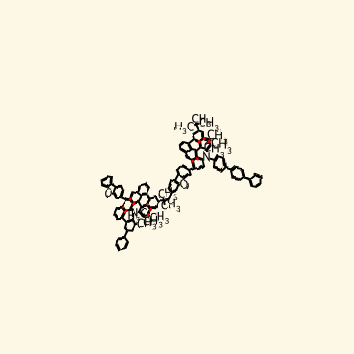 CC1CC(c2ccccc2)=CC(c2ccccc2)=C1N(c1ccc(-c2ccc3c(c2)oc2ccccc23)cc1)c1ccccc1-c1cccc2cccc(-c3cc(C(C)(C)C)cc(C(C)(C)Cc4ccc5c(c4)oc4cc(-c6ccc(N(c7ccc(-c8ccc(-c9ccccc9)cc8)cc7)c7ccccc7-c7cccc8cccc(-c9cc(C(C)(C)C)cc(C(C)(C)C)c9)c78)cc6)ccc45)c3)c12